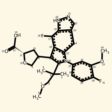 COCC(C)(C)c1c(C2CO[C@H](C(=O)O)C2)c2c(F)c3[nH]ncc3cc2n1-c1ccc(F)c(OC)c1